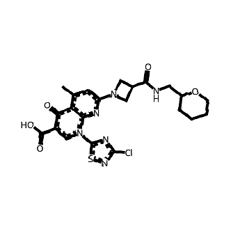 Cc1cc(N2CC(C(=O)NCC3CCCCO3)C2)nc2c1c(=O)c(C(=O)O)cn2-c1nc(Cl)ns1